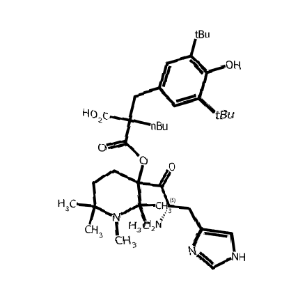 CCCCC(Cc1cc(C(C)(C)C)c(O)c(C(C)(C)C)c1)(C(=O)O)C(=O)OC1(C(=O)[C@@H](N)Cc2c[nH]cn2)CCC(C)(C)N(C)C1(C)C